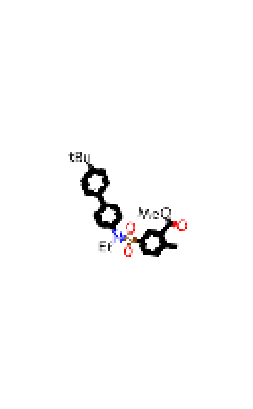 CCN(c1ccc(-c2ccc(C(C)(C)C)cc2)cc1)S(=O)(=O)c1ccc(C)c(C(=O)OC)c1